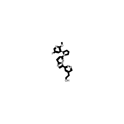 COc1ncc(F)cc1[C@H]1CCCN1c1ccc2ncc(-c3cc(CCO)cnn3)n2n1